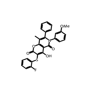 COc1cccc(-n2c(-c3ccccc3)c(C)c3oc(=O)c(Sc4ccccc4F)c(O)c3c2=O)c1